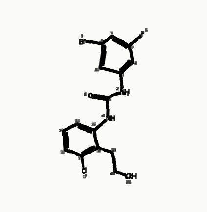 O=C(Nc1cc(F)cc(Br)c1)Nc1cccc(Cl)c1CCO